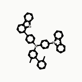 Cc1ccccc1-c1cc(N(c2ccc(-c3cccc4c3sc3ccccc34)cc2)c2ccc(-n3c4ccccc4c4ccccc43)cc2)ccc1C